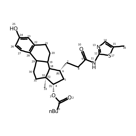 CCCCC(=O)O[C@H]1C[C@@H](CCC(=O)Nc2ncc(C)s2)C2C3CCc4cc(O)ccc4C3CC[C@@]21C